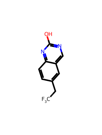 Oc1ncc2cc(CC(F)(F)F)ccc2n1